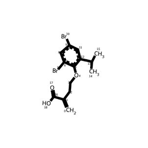 C=C(CCOc1c(Br)cc(Br)cc1C(C)C)C(=O)O